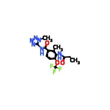 CCC(=O)Nc1c(OC(F)(F)F)ccc(C(=O)Nc2nnnn2C)c1C